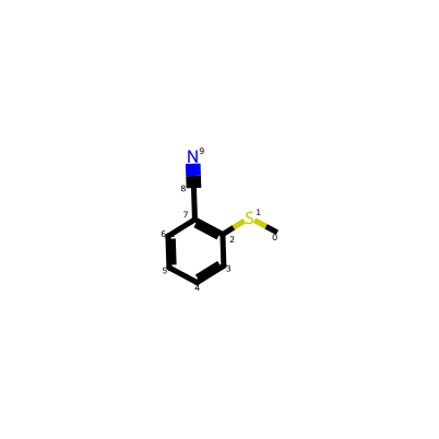 CSc1ccc[c]c1C#N